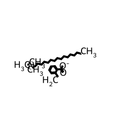 C=Cc1ccccc1C(=O)[O-].CCCCCCCCCCCCCCCC[N+](C)(C)C